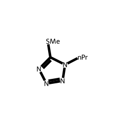 [CH2]Sc1nnnn1CCC